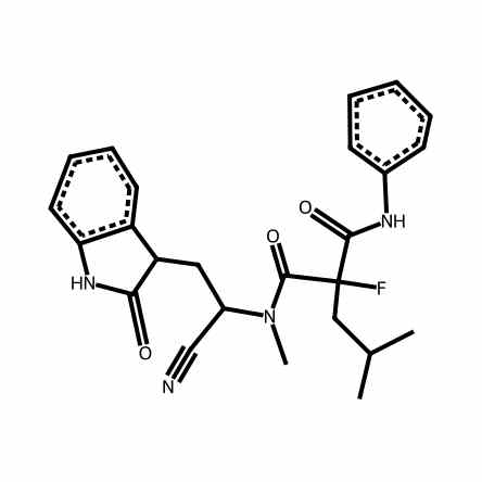 CC(C)CC(F)(C(=O)Nc1ccccc1)C(=O)N(C)C(C#N)CC1C(=O)Nc2ccccc21